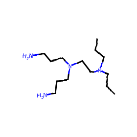 CCCN(CCC)CCN(CCCN)CCCN